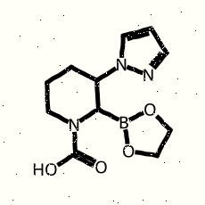 O=C(O)N1CCCC(n2cccn2)C1B1OCCO1